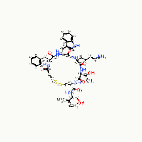 CC(C)[C@@H](CO)NC(=O)[C@@H]1CSSCCC(=O)N[C@@H](Cc2ccccc2)C(=O)N[C@H](Cc2c[nH]c3ccccc23)C(=O)N[C@@H](CCCCN)C(=O)NC([C@@H](C)O)C(=O)N1